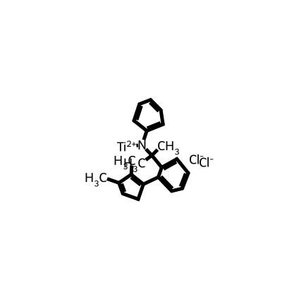 CC1=CCC(c2ccccc2C(C)(C)[N]([Ti+2])c2ccccc2)=C1C.[Cl-].[Cl-]